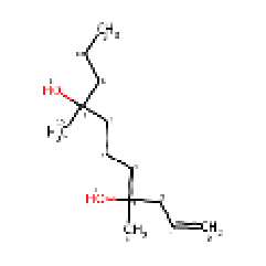 C=CCC(C)(O)CCCC(C)(O)CCC